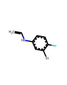 C=CNc1ccc(F)c(CC)c1